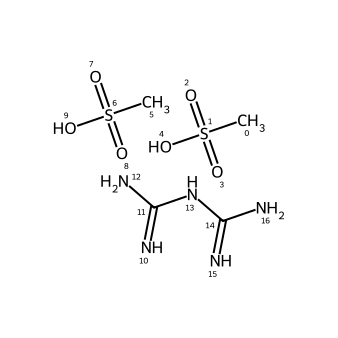 CS(=O)(=O)O.CS(=O)(=O)O.N=C(N)NC(=N)N